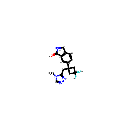 Cn1cnnc1CC1(c2ccc3c(c2)C(=O)NC3)CC(F)(F)C1